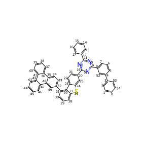 c1ccc(-c2cccc(-c3nc(-c4ccccc4)nc(-c4ccc5c(c4)sc4cccc(-c6ccc7c8ccccc8c8ccccc8c7c6)c45)n3)c2)cc1